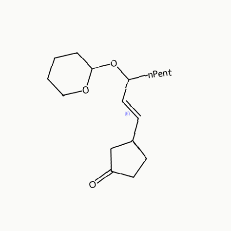 CCCCCC(/C=C/C1CCC(=O)C1)OC1CCCCO1